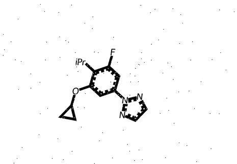 CC(C)c1c(F)cc(-n2nccn2)cc1OC1CC1